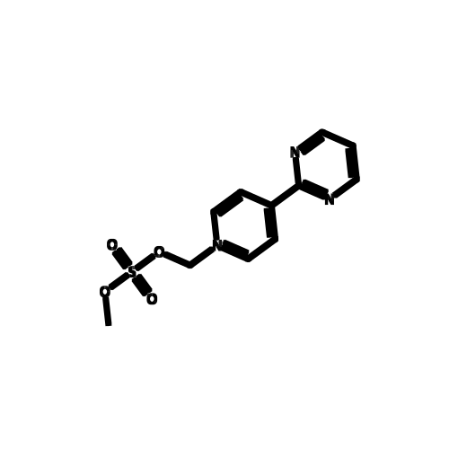 COS(=O)(=O)OC[n+]1ccc(-c2ncccn2)cc1